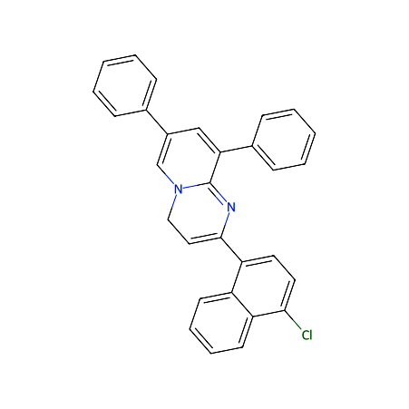 Clc1ccc(C2=CCN3C=C(c4ccccc4)C=C(c4ccccc4)C3=N2)c2ccccc12